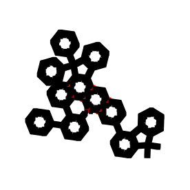 CC1(C)c2ccccc2-c2c(-c3cccc(N(c4ccc5c(c4)-c4ccccc4C5(c4ccccc4)c4ccccc4)c4cccc(-c5ccccc5)c4-c4ccccc4-c4ccccc4)c3)cccc21